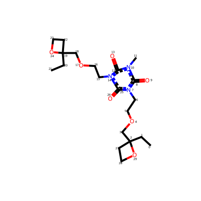 CCC1(COCCn2c(=O)n(C)c(=O)n(CCOCC3(CC)CCO3)c2=O)CCO1